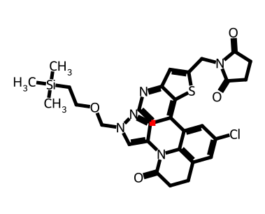 C[Si](C)(C)CCOCn1cc(N2C(=O)CCc3cc(Cl)cc(-c4ccnc5cc(CN6C(=O)CCC6=O)sc45)c32)cn1